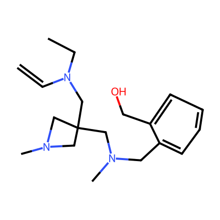 C=CN(CC)CC1(CN(C)Cc2ccccc2CO)CN(C)C1